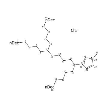 CCCCCCCCCCCCCCC(CCCCCCCCCCCCCC)CCCCC(CCCCCCCCCCCCCC)[n+]1ccn(C)c1.[Cl-]